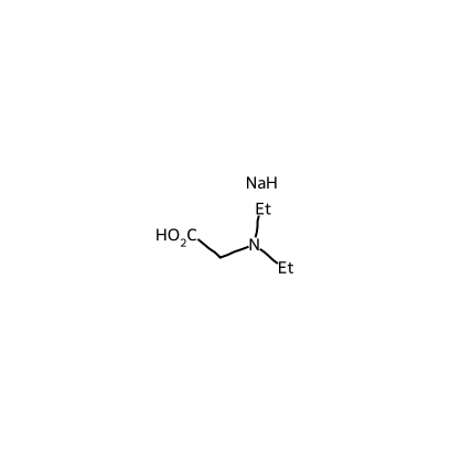 CCN(CC)CC(=O)O.[NaH]